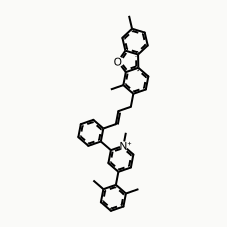 Cc1ccc2c(c1)oc1c(C)c(C/C=C/c3ccccc3-c3cc(-c4c(C)cccc4C)cc[n+]3C)ccc12